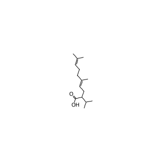 CC(C)=CCC/C(C)=C/CC(C(=O)O)C(C)C